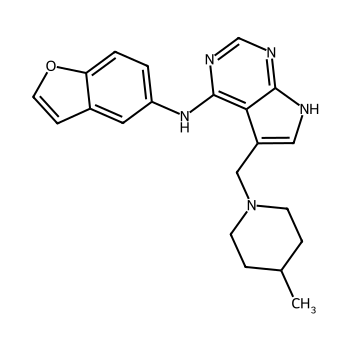 CC1CCN(Cc2c[nH]c3ncnc(Nc4ccc5occc5c4)c23)CC1